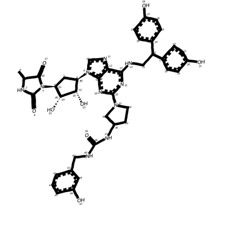 CC1NC(=O)N([C@H]2C[C@@H](n3cnc4c(NCC(c5ccc(O)cc5)c5ccc(O)cc5)nc(N5CCC(NC(=O)NCc6cccc(O)c6)C5)nc43)[C@H](O)[C@@H]2O)C1=O